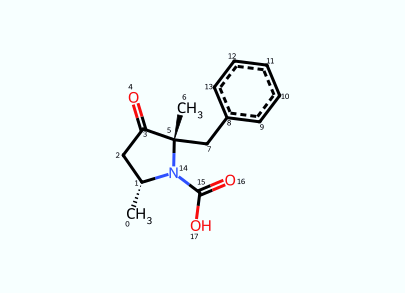 C[C@@H]1CC(=O)[C@](C)(Cc2ccccc2)N1C(=O)O